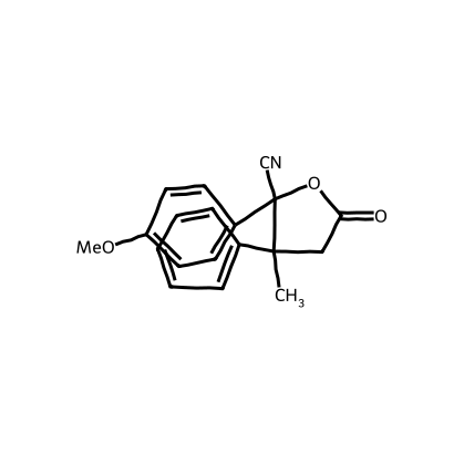 COc1ccc(C2(C#N)OC(=O)CC2(C)c2ccccc2)cc1